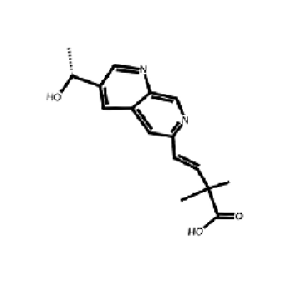 C[C@@H](O)c1cnc2cnc(/C=C/C(C)(C)C(=O)O)cc2c1